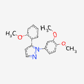 COc1ccc(-n2nccc2-c2ccccc2OC)cc1OC